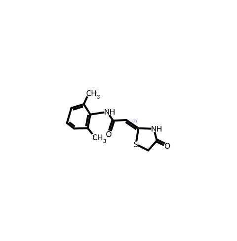 Cc1cccc(C)c1NC(=O)/C=C1/NC(=O)CS1